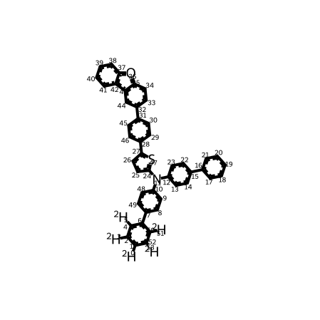 [2H]c1c([2H])c([2H])c(-c2ccc(N(c3ccc(-c4ccccc4)cc3)c3ccc(-c4ccc(-c5ccc6oc7ccccc7c6c5)cc4)s3)cc2)c([2H])c1[2H]